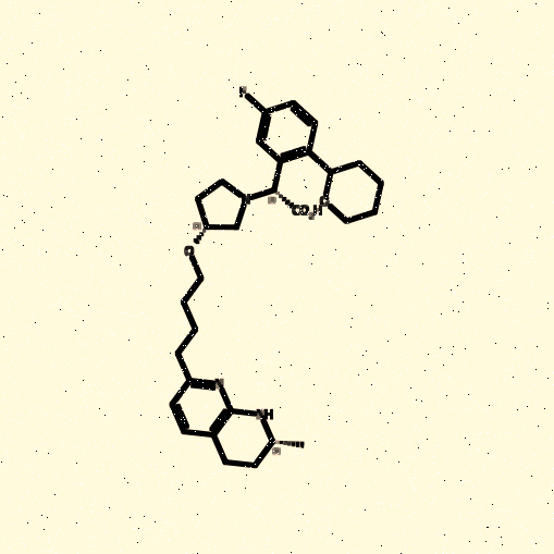 C[C@@H]1CCc2ccc(CCCCO[C@@H]3CCN([C@@H](C(=O)O)c4cc(F)ccc4C4CCCCO4)C3)nc2N1